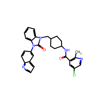 Cc1ncc(Cl)cc1C(=O)NC1CCC(Cn2c(=O)n(-c3ccc4ncccc4c3)c3ccccc32)CC1